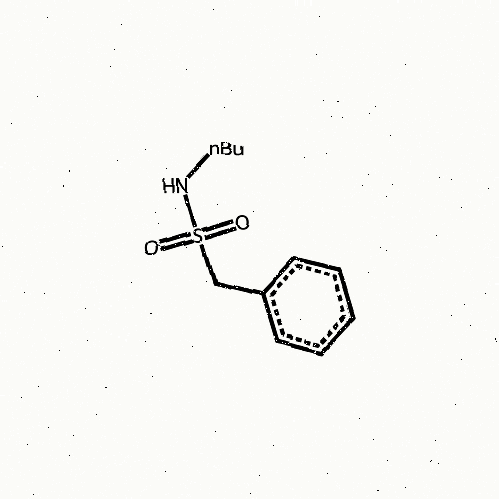 CCCCNS(=O)(=O)Cc1ccccc1